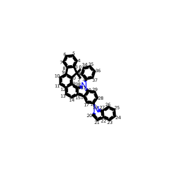 CC1(C)c2ccccc2-c2ccc3ccc4c5cc(-n6ccc7ccccc76)ccc5n(-c5ccccc5)c4c3c21